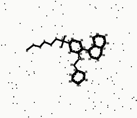 CCCCCCC(C)(C)c1ccc(-c2cccc3ccccc23)c(OCc2ccccc2)c1